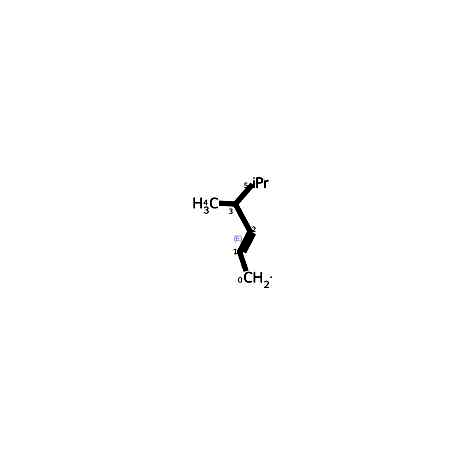 [CH2]/C=C/C(C)C(C)C